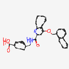 O=C(O)c1ccc(CNC(=O)c2cc(OCc3cccc4ccccc34)c3ccccc3n2)cc1